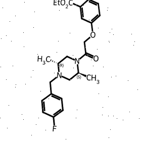 CCOC(=O)c1cccc(OCC(=O)N2C[C@@H](C)N(Cc3ccc(F)cc3)C[C@@H]2C)c1